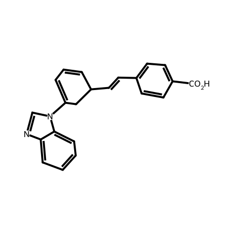 O=C(O)c1ccc(/C=C/C2C=CC=C(n3cnc4ccccc43)C2)cc1